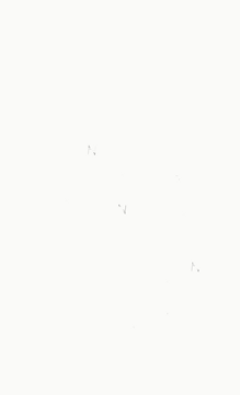 CC(C)(C)Oc1cc2c(cn1)c(=O)cc(Nc1ccccc1)n2-c1ccccc1